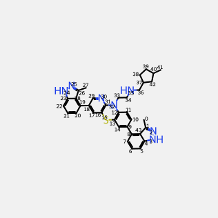 Cc1n[nH]c2cccc(-c3ccc4c(c3)Sc3cc(-c5cccc6[nH]nc(C)c56)cnc3N4CCNCC3CCC(C)C3)c12